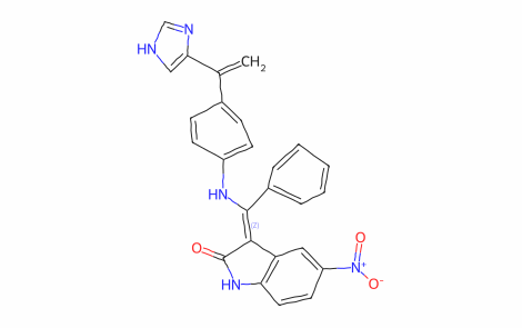 C=C(c1ccc(N/C(=C2\C(=O)Nc3ccc([N+](=O)[O-])cc32)c2ccccc2)cc1)c1c[nH]cn1